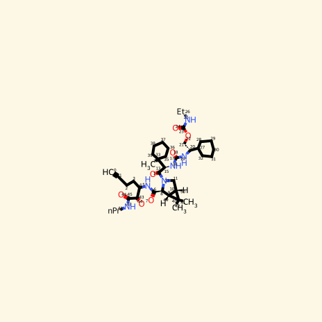 C#CCCC(NC(=O)[C@@H]1[C@@H]2[C@H](CN1C(=O)[C@@H](NC(=O)N[C@H](COC(=O)NCC)C1CCCCC1)C1(C)CCCCC1)C2(C)C)C(=O)C(=O)NCCC